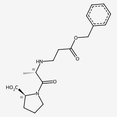 C[C@H](NCCC(=O)OCc1ccccc1)C(=O)N1CCC[C@H]1C(=O)O